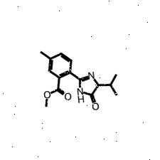 COC(=O)c1cc(C)ccc1C1=NC(C(C)C)C(=O)N1